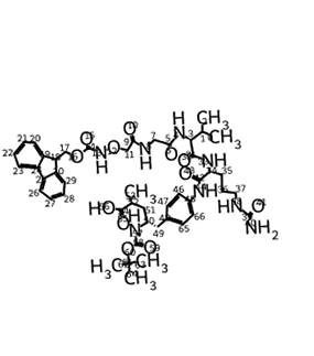 CC(C)[C@H](NC(=O)CNC(=O)CONC(=O)OCC1c2ccccc2-c2ccccc21)C(=O)N[C@@H](CCCNC(N)=O)C(=O)Nc1ccc(C[C@@H](C[C@H](C)C(=O)O)NC(=O)OC(C)(C)C)cc1